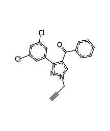 C#CCn1cc(C(=O)c2ccccc2)c(-c2cc(Cl)cc(Cl)c2)n1